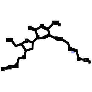 [N-]=[N+]=NCOC1CC(n2cc(C#CC/N=C/OC(F)(F)F)c(N)nc2=O)OC1CO